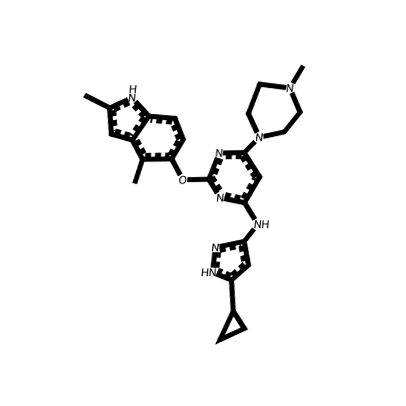 Cc1cc2c(C)c(Oc3nc(Nc4cc(C5CC5)[nH]n4)cc(N4CCN(C)CC4)n3)ccc2[nH]1